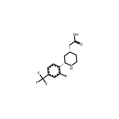 O=C(O)C[C@@H]1CCN[C@H](c2ccc(C(F)(F)F)cc2F)C1